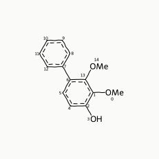 COc1c(O)ccc(-c2ccccc2)c1OC